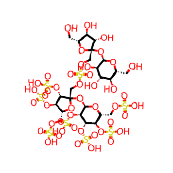 O=S(=O)(O)OC[C@H]1O[C@@](COS(=O)(=O)OC[C@@]2(O[C@H]3O[C@H](CO)[C@@H](O)[C@H](O)[C@H]3O)O[C@H](CO)[C@@H](O)[C@@H]2O)(O[C@H]2O[C@H](COS(=O)(=O)O)[C@@H](OS(=O)(=O)O)[C@H](OS(=O)(=O)O)[C@H]2OS(=O)(=O)O)[C@@H](OS(=O)(=O)O)[C@@H]1OS(=O)(=O)O